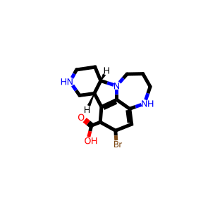 O=C(O)C1C2=C3C(=CC1Br)NCCCN3[C@H]1CCNC[C@@H]21